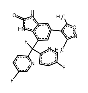 Cc1noc(C)c1-c1cc(C(F)(c2ccc(F)cn2)c2ccc(F)cn2)c2[nH]c(=O)[nH]c2c1